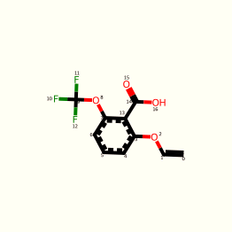 C=COc1cccc(OC(F)(F)F)c1C(=O)O